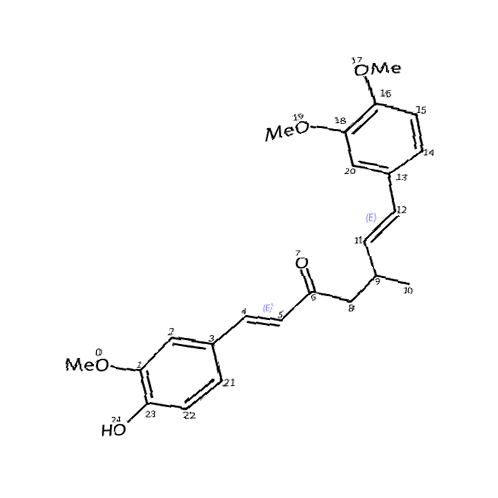 COc1cc(/C=C/C(=O)CC(C)/C=C/c2ccc(OC)c(OC)c2)ccc1O